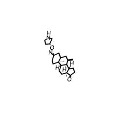 C=C1CC2CC(=NO[C@@H]3CCNC3)CC[C@]2(C)[C@H]2CC[C@]3(C)C(=O)CC[C@H]3[C@H]12